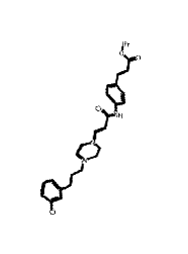 CC(C)OC(=O)CCc1ccc(NC(=O)CCN2CCN(CCCc3cccc(Cl)c3)CC2)cc1